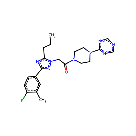 CCCc1nc(-c2ccc(F)c(C)c2)nn1CC(=O)N1CCN(c2ncncn2)CC1